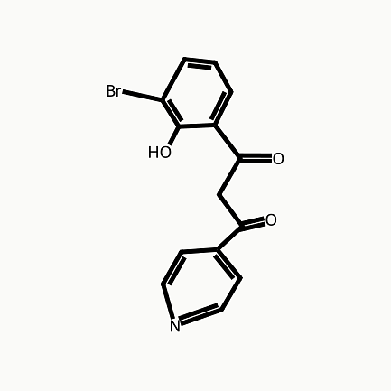 O=C(CC(=O)c1cccc(Br)c1O)c1ccncc1